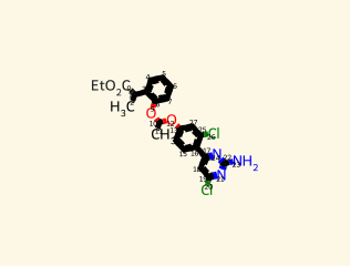 CCOC(=O)C(C)c1ccccc1OC(C)Oc1ccc(-c2cc(Cl)nc(N)n2)c(Cl)c1